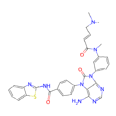 CN(C)C/C=C/C(=O)N(C)c1cccc(-n2c(=O)n(-c3ccc(C(=O)Nc4nc5ccccc5s4)cc3)c3c(N)ncnc32)c1